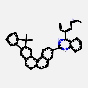 C=C/C(=C\C=C/C)c1nc(-c2ccc3c(ccc4ccc5cc6c(cc5c43)C(C)(C)c3ccccc3-6)c2)nc2ccccc12